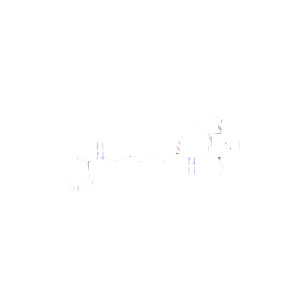 CC(C)(C)OC(=O)NCCCCCC(=O)Nc1c2sscc-2[nH]c1=O